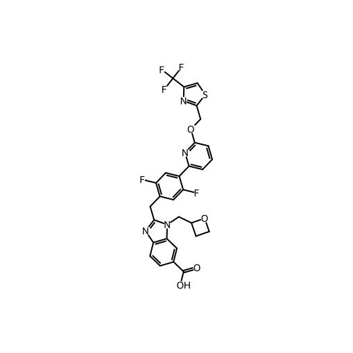 O=C(O)c1ccc2nc(Cc3cc(F)c(-c4cccc(OCc5nc(C(F)(F)F)cs5)n4)cc3F)n(CC3CCO3)c2c1